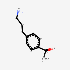 COC(=O)c1ccc(CCCN)cc1